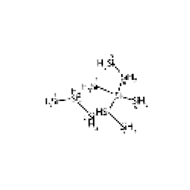 [SiH3][SiH2][SiH2][SiH]([SiH3])[Si]([SiH3])([SiH3])[SiH2][SiH3]